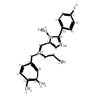 CCCCn1c(CN(CCC(C)C)Cc2ccc(C)c(C)c2)cnc1-c1ccc(F)cc1